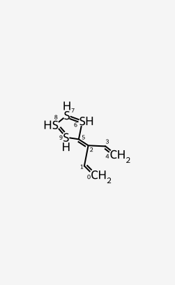 C=CC(C=C)=C1[SH]=[SH][SH]=[SH]1